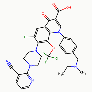 CCN(C)Cc1ccc(-n2cc(C(=O)O)c(=O)c3cc(F)c(N4CCN(c5ncccc5C#N)CC4)c(OC(F)(F)Cl)c32)cc1